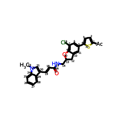 CC(=O)c1ccc(-c2cc(Cl)c3c(c2)CC(CNC(=O)C=Cc2cn(C)c4ccccc24)O3)s1